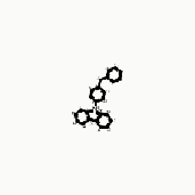 c1ccc(Cc2ccc(-n3c4ccccc4c4ccccc43)cc2)cc1